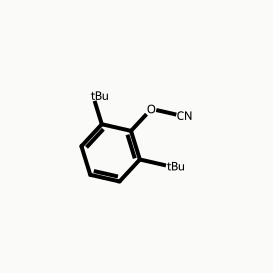 CC(C)(C)c1cccc(C(C)(C)C)c1OC#N